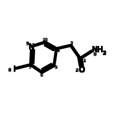 NC(=O)Cc1ccc(I)nc1